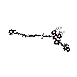 CCCC[N+]1=C(/C=C/C2=C(Oc3ccc(S(=O)(=O)O)cc3)C(=C/C=C3/N(CCCCCC(=O)NCCCCCCNC(=O)/C=C(C)/C=C/C=C(C)/C=C/C4=C(C)CCCC4(C)C)c4ccc(S(=O)(=O)O)cc4C3(C)C)/CCC2)C(C)(C)c2ccccc21